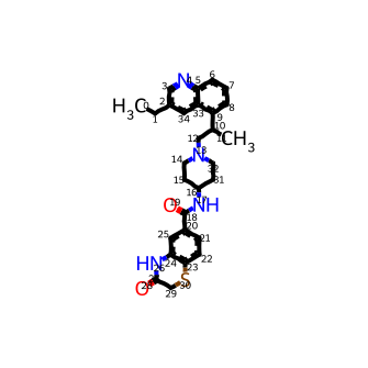 CCc1cnc2cccc(C(C)CN3CCC(NC(=O)c4ccc5c(c4)NC(=O)CS5)CC3)c2c1